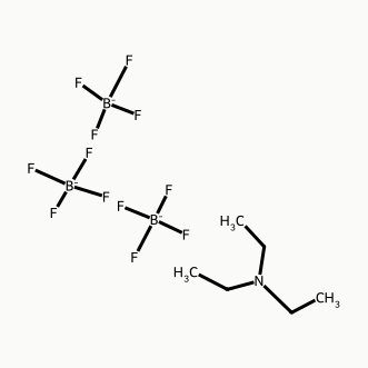 CCN(CC)CC.F[B-](F)(F)F.F[B-](F)(F)F.F[B-](F)(F)F